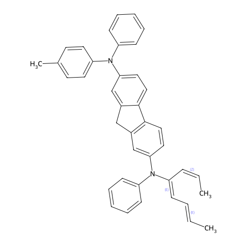 C\C=C/C(=C\C=C\C)N(c1ccccc1)c1ccc2c(c1)Cc1cc(N(c3ccccc3)c3ccc(C)cc3)ccc1-2